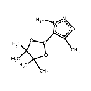 Cc1nnn(C)c1B1OC(C)(C)C(C)(C)O1